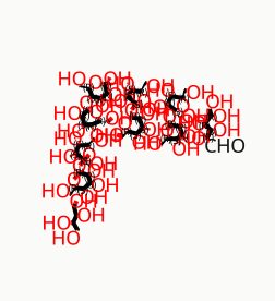 O=C[C@H](O)[C@@H](O)[C@H](O)[C@H](O)CO.OCC(O)C(O)CO.OC[C@H]1O[C@@H](O[C@H]2[C@H](O)[C@@H](O)[C@H](O)O[C@@H]2CO)[C@H](O)[C@@H](O)[C@H]1O.OC[C@H]1O[C@@](CO)(O[C@H]2O[C@H](CO)[C@@H](O)[C@H](O)[C@H]2O)[C@@H](O)[C@@H]1O.OC[C@H]1O[C@@](CO)(O[C@H]2O[C@H](CO)[C@@H](O)[C@H](O)[C@H]2O)[C@@H](O)[C@@H]1O.OC[C@H]1O[C@@](CO)(O[C@H]2O[C@H](CO)[C@@H](O)[C@H](O)[C@H]2O)[C@@H](O)[C@@H]1O